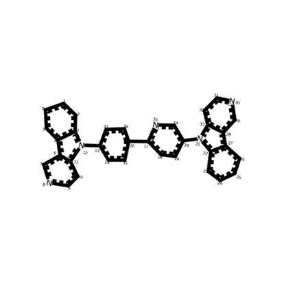 c1ccc2c(c1)c1cnccc1n2-c1ccc(-c2ccc(-n3c4ccccc4c4cnccc43)cn2)cc1